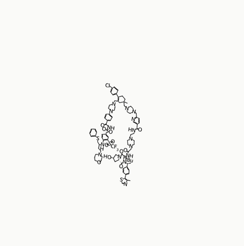 Cc1ncsc1-c1ccc([C@H](C)NC(=O)[C@@H]2C[C@@H](O)CN2C(=O)C(NC(=O)CN2CCN(CCNC(=O)c3ccc(CN4CCN(CC5(C)CCC(c6ccc(Cl)cc6)=C(CN6CCN(c7ccc(C(=O)NS(=O)(=O)c8ccc(NC(CCN9CCCOCC9)CSc9ccccc9)c(S(=O)(=O)C(F)(F)F)c8)cc7)CC6)C5)CC4)nc3)CC2)C(C)(C)C)cc1